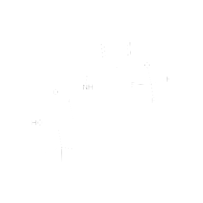 CC(NC(=O)C[C@@H](O)C(C)(C)C)c1cccc(OC(F)(F)F)c1